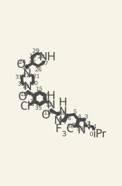 CC(C)Cn1cc(Cc2cnc(C(=O)Nc3ccc(C(=O)N4CCN(C(=O)C5CCNCC5)CC4)c(Cl)c3)[nH]2)c(C(F)(F)F)n1